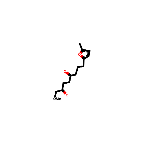 COCC(=O)CCC(=O)CCCc1ccc(C)o1